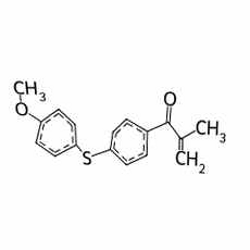 C=C(C)C(=O)c1ccc(Sc2ccc(OC)cc2)cc1